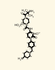 CC(C)(N)C(=O)N1CCN(C(=O)Nc2ccn(-c3ccc(CN4CCC(N)CC4)cc3)c(=O)n2)[C@H](C(=O)O)C1.Cl